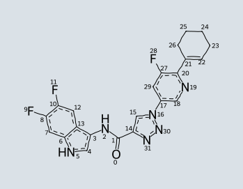 O=C(Nc1c[nH]c2cc(F)c(F)cc12)c1cn(-c2cnc(C3=CCCCC3)c(F)c2)nn1